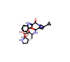 COc1cccc2[nH]c(C(=O)N3CC4(C5CC5)CC3(C(=O)NC(C[C@@H]3CCNC3=O)C(=O)CO)C4)cc12